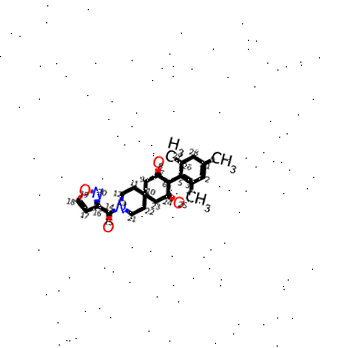 CC1=CC(C)=C(C2C(=O)CC3(CCN(C(=O)c4ccon4)CC3)CC2=O)C(C)C1